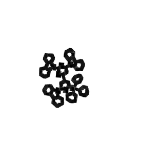 c1ccc([Si](c2ccccc2)(c2ccccc2)c2cc(-c3cc(-n4c5ccccc5c5ccccc54)nc(-n4c5ccccc5c5ccccc54)n3)cc(-n3c4ccccc4c4ccccc43)n2)cc1